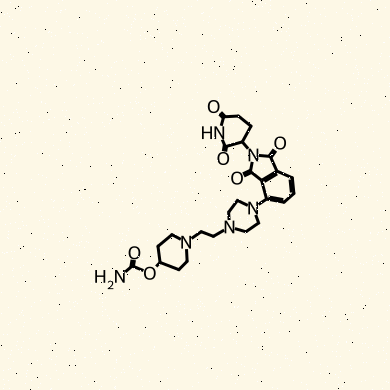 NC(=O)OC1CCN(CCN2CCN(c3cccc4c3C(=O)N(C3CCC(=O)NC3=O)C4=O)CC2)CC1